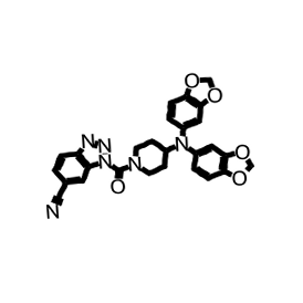 N#Cc1ccc2nnn(C(=O)N3CCC(N(c4ccc5c(c4)OCO5)c4ccc5c(c4)OCO5)CC3)c2c1